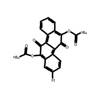 CCCCC(=O)OC1=c2ccccc2=C2C(=O)C(OC(=O)CCCC)=c3cc(CC)ccc3=C2C1=O